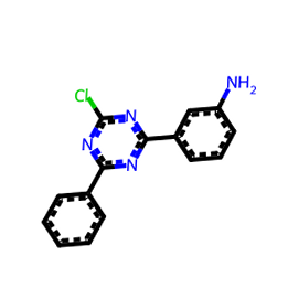 Nc1cccc(-c2nc(Cl)nc(-c3ccccc3)n2)c1